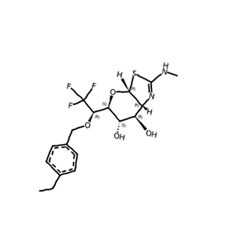 CCc1ccc(CO[C@H]([C@H]2O[C@@H]3SC(NC)=N[C@@H]3[C@@H](O)[C@@H]2O)C(F)(F)F)cc1